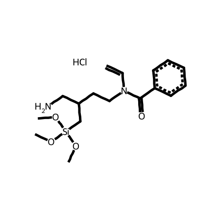 C=CN(CCC(CN)C[Si](OC)(OC)OC)C(=O)c1ccccc1.Cl